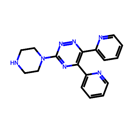 c1ccc(-c2nnc(N3CCNCC3)nc2-c2ccccn2)nc1